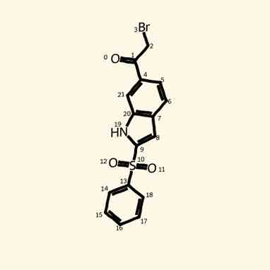 O=C(CBr)c1ccc2cc(S(=O)(=O)c3ccccc3)[nH]c2c1